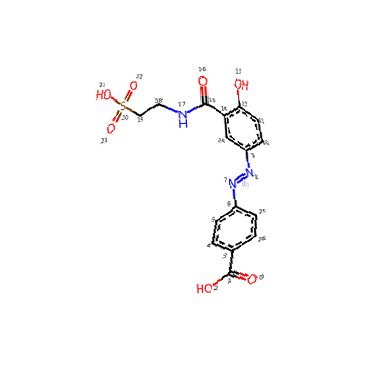 O=C(O)c1ccc(/N=N/c2ccc(O)c(C(=O)NCCS(=O)(=O)O)c2)cc1